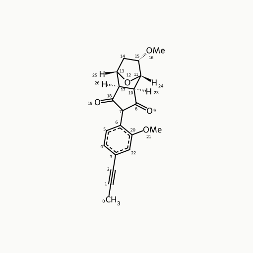 CC#Cc1ccc(C2C(=O)[C@@H]3[C@@H]4O[C@@H](C[C@@H]4OC)[C@@H]3C2=O)c(OC)c1